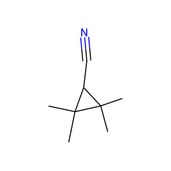 CC1(C)C(C#N)C1(C)C